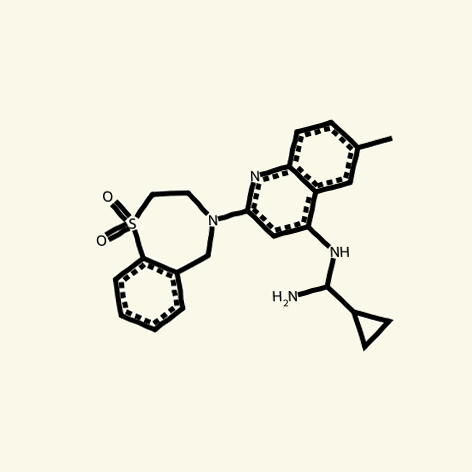 Cc1ccc2nc(N3CCS(=O)(=O)c4ccccc4C3)cc(NC(N)C3CC3)c2c1